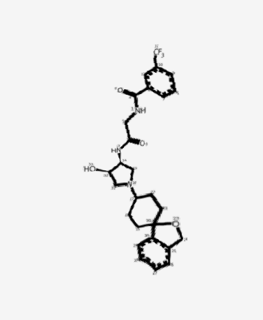 O=C(CNC(=O)c1cccc(C(F)(F)F)c1)N[C@H]1CN(C2CCC3(CC2)OCc2ccccc23)C[C@H]1O